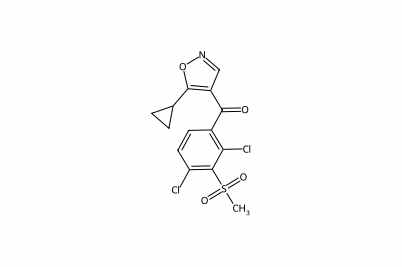 CS(=O)(=O)c1c(Cl)ccc(C(=O)c2cnoc2C2CC2)c1Cl